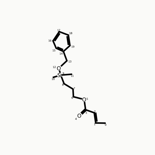 CC=CC(=O)OCCC[Si](C)(C)OCc1ccccc1